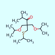 CC(C)OCC(COC(C)C)(CSC(C)C)C(=O)C(C)C